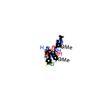 COc1cccc([C@](O)(CNC(=O)c2cc(OC)c3nn(C4CC4)cc3c2)c2cc3c(c(-c4cc(Cl)c(F)cc4F)n2)OC[C@]3(C)C(N)=O)c1